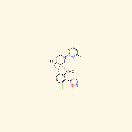 Cc1cc(C)nc(N2CC[C@@H]3CN(c4ccc(F)c(-c5ccno5)c4C=O)[C@@H]3C2)n1